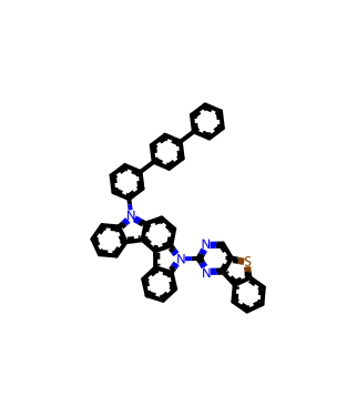 c1ccc(-c2ccc(-c3cccc(-n4c5ccccc5c5c6c7ccccc7n(-c7ncc8sc9ccccc9c8n7)c6ccc54)c3)cc2)cc1